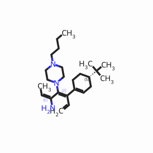 C=C/C(C1=CC[C@@H](C(C)(C)C)CC1)=C(\C(N)=C/C)N1CCN(CCCC)CC1